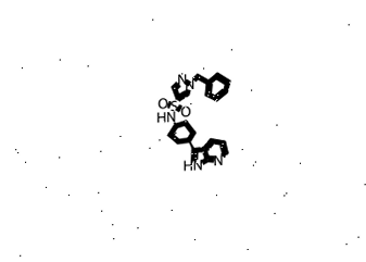 O=S(=O)(N[C@H]1CC[C@H](c2c[nH]c3ncccc32)CC1)c1cnn(Cc2ccccc2)c1